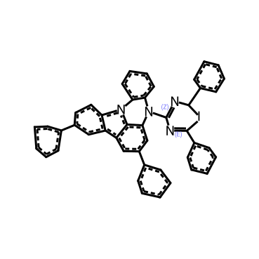 C/C(=N\C(=N/C(I)c1ccccc1)N1c2ccccc2-n2c3ccc(-c4ccccc4)cc3c3cc(-c4ccccc4)cc1c32)c1ccccc1